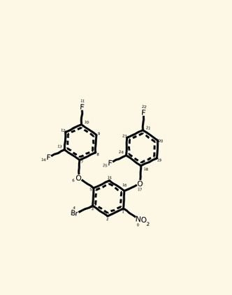 O=[N+]([O-])c1cc(Br)c(Oc2ccc(F)cc2F)cc1Oc1ccc(F)cc1F